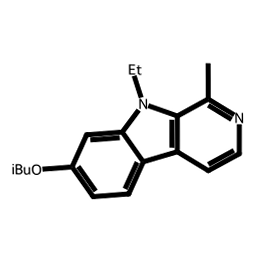 CCn1c2cc(OCC(C)C)ccc2c2ccnc(C)c21